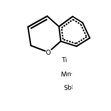 C1=Cc2ccccc2OC1.[Mn].[Sb].[Ti]